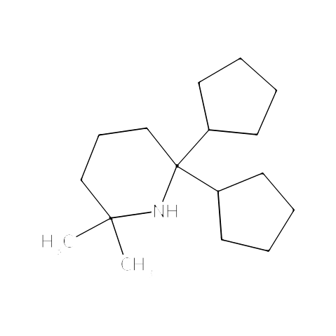 CC1(C)CCCC(C2CCCC2)(C2CCCC2)N1